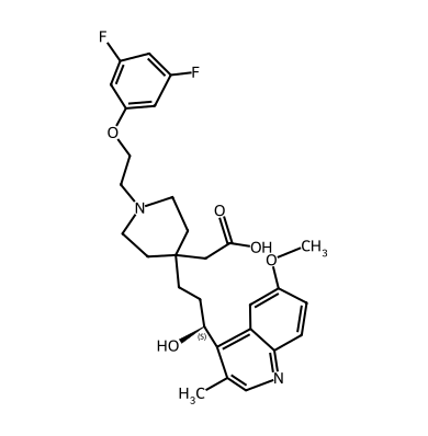 COc1ccc2ncc(C)c([C@@H](O)CCC3(CC(=O)O)CCN(CCOc4cc(F)cc(F)c4)CC3)c2c1